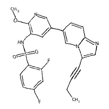 CCC#Cc1cnc2ccc(-c3cnc(OC)c(NS(=O)(=O)c4ccc(F)cc4F)c3)cn12